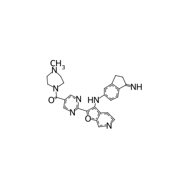 CN1CCN(C(=O)c2cnc(-c3oc4cnccc4c3Nc3ccc4c(c3)CCC4=N)nc2)CC1